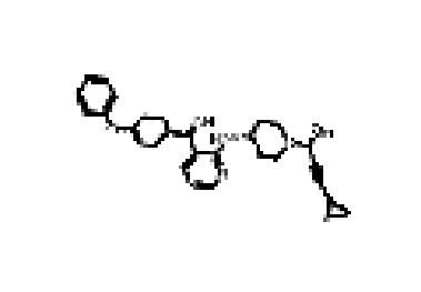 N=C(c1ccc(Oc2ccccc2)cc1)c1cncnc1NC1CCN(C(O)C#CC2CC2)CC1